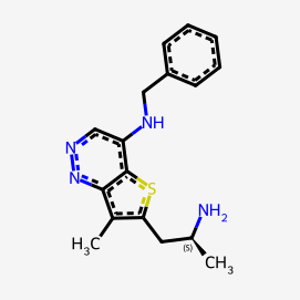 Cc1c(C[C@H](C)N)sc2c(NCc3ccccc3)cnnc12